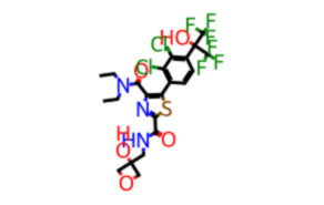 CCN(CC)C(=O)c1nc(C(=O)NCC2(O)COC2)sc1-c1ccc(C(O)(C(F)(F)F)C(F)(F)F)c(Cl)c1Cl